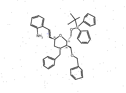 CC(C)(C)[Si](OC[C@H]1O[C@H](/C=C/c2ccccc2N)CN(Cc2ccccc2)[C@@H]1COCc1ccccc1)(c1ccccc1)c1ccccc1